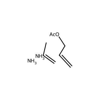 C=CC.C=CCOC(C)=O.N.N